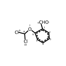 O=[C]c1ccccc1OC(Cl)Cl